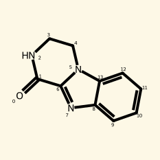 O=C1NCCn2c1nc1ccccc12